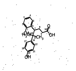 Cc1ccccc1C(CCC(=O)O)C(C)(C)c1ccc(O)cc1